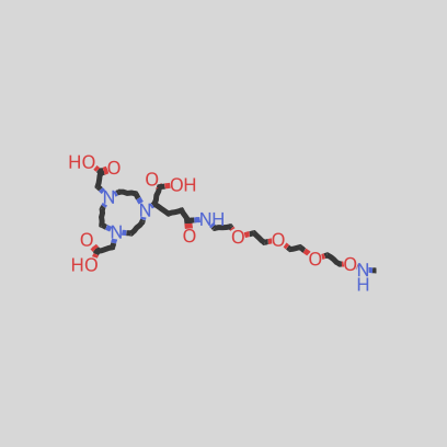 CNOCCOCCOCCOCCNC(=O)CCC(C(=O)O)N1CCN(CC(=O)O)CCN(CC(=O)O)CC1